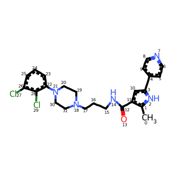 Cc1[nH]c(-c2ccncc2)cc1C(=O)NCCCN1CCN(c2cccc(Cl)c2Cl)CC1